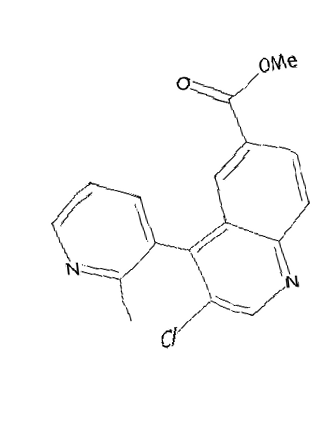 COC(=O)c1ccc2ncc(Cl)c(-c3cccnc3C)c2c1